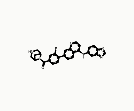 O=C(c1ccc(-c2ccc3c(Nc4ccc5scnc5c4)ccnc3c2)c(F)c1)N1C2CNCC1C2